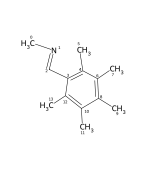 C/N=C/c1c(C)c(C)c(C)c(C)c1C